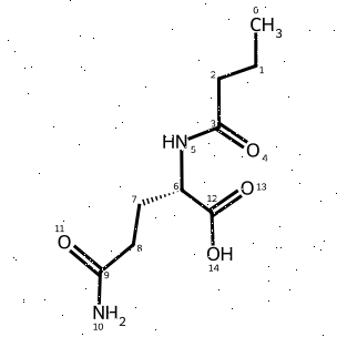 CCCC(=O)N[C@@H](CCC(N)=O)C(=O)O